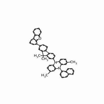 Cc1ccc2c(c1)N(c1cccc3ccccc13)c1cc(C)ccc1N2c1ccc2c(c1)C(C)(C)c1cc(-c3cccc4c3oc3ccccc34)ccc1-2